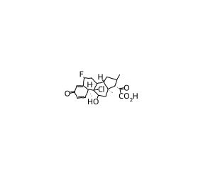 CC1C[C@H]2[C@@H]3CC(F)C4=CC(=O)C=C[C@]4(C)[C@@]3(Cl)C(O)C[C@]2(C)[C@H]1C(=O)C(=O)O